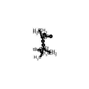 C=CCOC1CC(c2nc(-c3ccc(-c4ccc(-c5cn(COCC[Si](C)(C)C)c([C@@H]6CCCN6C(=O)OCc6ccccc6)n5)cc4)cc3)c(CC)n2COCC[Si](C)(C)C)N(C(=O)OC(C)(C)C)C1